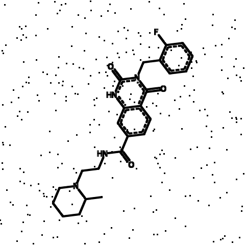 CC1CCCCN1CCNC(=O)c1ccc2c(=O)n(Cc3ccccc3F)c(=O)[nH]c2c1